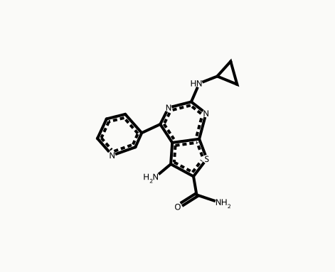 NC(=O)c1sc2nc(NC3CC3)nc(-c3cccnc3)c2c1N